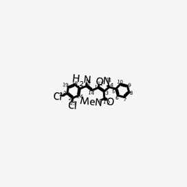 CNC(=O)c1c(-c2ccccc2)noc1C=C(N)c1ccc(Cl)c(Cl)c1